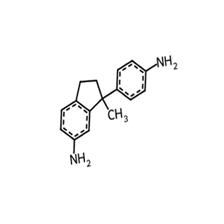 CC1(c2ccc(N)cc2)CCc2ccc(N)cc21